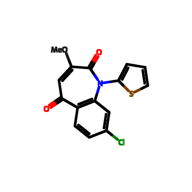 COc1cc(=O)c2ccc(Cl)cc2n(-c2cccs2)c1=O